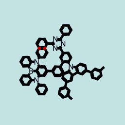 Cc1cccc(-c2ccc3c(c2)c2cc(-c4cccc(C)c4)ccc2n3-c2ccc(-c3nc(-c4ccccc4)nc(-c4ccccc4)n3)cc2-c2cccc(-c3cc4c5c(c3)N(c3ccccc3)c3ccccc3B5c3ccccc3N4c3ccccc3)c2)c1